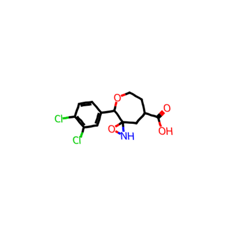 O=C(O)C1CCOC(c2ccc(Cl)c(Cl)c2)C2(C1)NO2